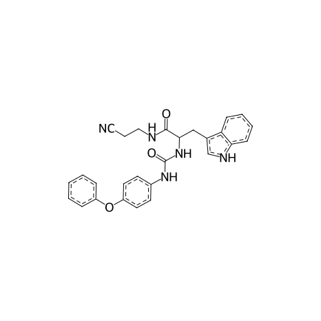 N#CCCNC(=O)C(Cc1c[nH]c2ccccc12)NC(=O)Nc1ccc(Oc2ccccc2)cc1